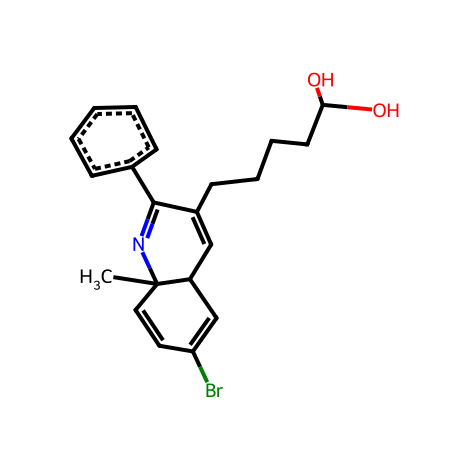 CC12C=CC(Br)=CC1C=C(CCCCC(O)O)C(c1ccccc1)=N2